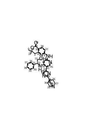 CC1(C)Cc2nc(Nc3cc(N[C@H](CO)c4ccccc4)c(-c4nc(C56CCN(CC5)CC6)no4)cn3)ccc2C(=O)O1